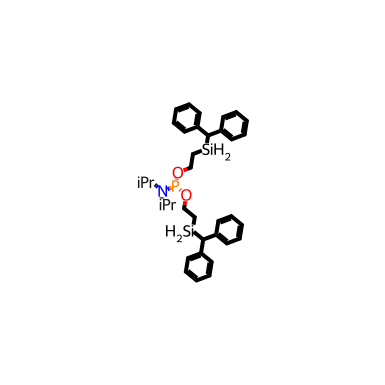 CC(C)N(C(C)C)P(OCC[SiH2]C(c1ccccc1)c1ccccc1)OCC[SiH2]C(c1ccccc1)c1ccccc1